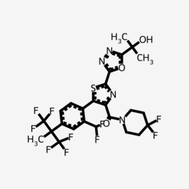 CC(C)(O)c1nnc(-c2nc(C(=O)N3CCC(F)(F)CC3)c(-c3ccc(C(C)(C(F)(F)F)C(F)(F)F)cc3C(F)F)s2)o1